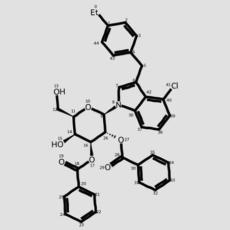 CCc1ccc(Cc2cn([C@@H]3O[C@H](CO)[C@H](O)[C@H](OC(=O)c4ccccc4)[C@H]3OC(=O)c3ccccc3)c3cccc(Cl)c23)cc1